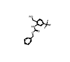 O=C(Nc1cc(C(F)(F)F)ccc1CO)OCc1ccccc1